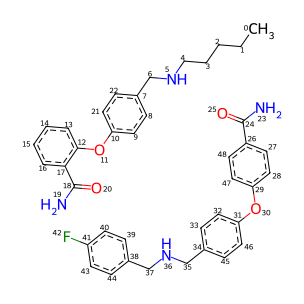 CCCCCNCc1ccc(Oc2ccccc2C(N)=O)cc1.NC(=O)c1ccc(Oc2ccc(CNCc3ccc(F)cc3)cc2)cc1